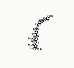 COc1c(NC(=O)c2ccc(NC(=O)c3ccc(NC(=O)CNC(=O)c4ccc(NC(=O)/C(C)=C/c5ccc(O)cc5)cc4)cc3Cl)c(OC)c2O)ccc(C(=O)O)c1O